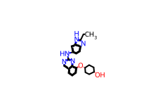 CCc1nc2ccc(Nc3ncc4cccc(O[C@H]5CC[C@@H](O)CC5)c4n3)cc2[nH]1